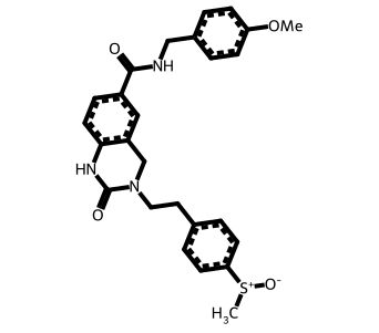 COc1ccc(CNC(=O)c2ccc3c(c2)CN(CCc2ccc([S+](C)[O-])cc2)C(=O)N3)cc1